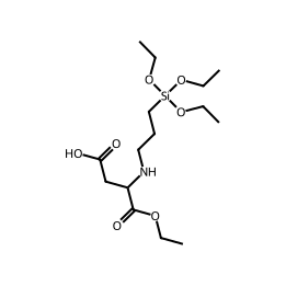 CCOC(=O)C(CC(=O)O)NCCC[Si](OCC)(OCC)OCC